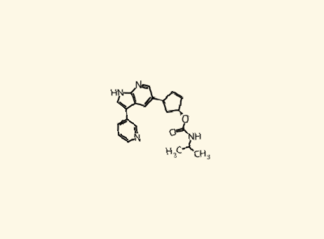 CC(C)NC(=O)O[C@@H]1CC[C@H](c2cnc3[nH]cc(-c4cccnc4)c3c2)C1